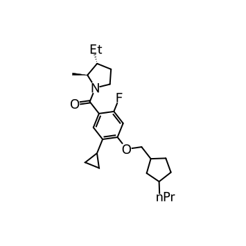 CCCC1CCC(COc2cc(F)c(C(=O)N3CC[C@@H](CC)[C@@H]3C)cc2C2CC2)C1